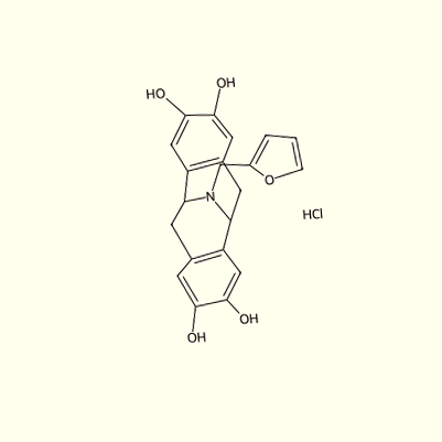 Cl.Oc1cc2c(cc1O)C1Cc3cc(O)c(O)cc3C(C2)N1Cc1ccco1